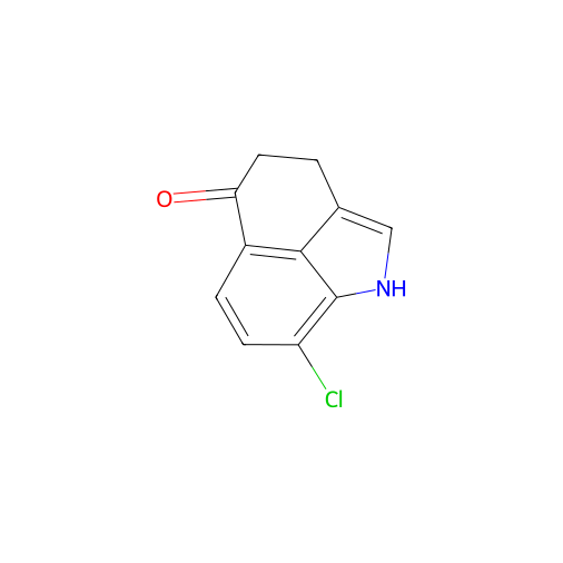 O=C1CCc2c[nH]c3c(Cl)ccc1c23